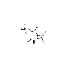 CCNc1c(N(C)CCC(C)(C)C)c(=O)c1=S